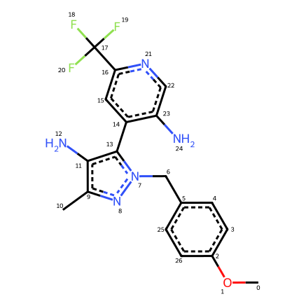 COc1ccc(Cn2nc(C)c(N)c2-c2cc(C(F)(F)F)ncc2N)cc1